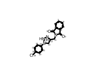 O=C1c2ccccc2C(=O)N1CC1CN(c2ccc(Cl)cc2)NN1